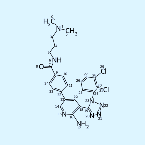 CN(C)CCCNC(=O)c1ccc(-c2cnc(N)c(-c3nnnn3-c3cccc(Cl)c3Cl)c2)cc1